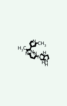 Cc1cc(-c2c(C)nc3ccc(N4C[C@H]5CCN[C@@H]5C4)nn23)ccn1